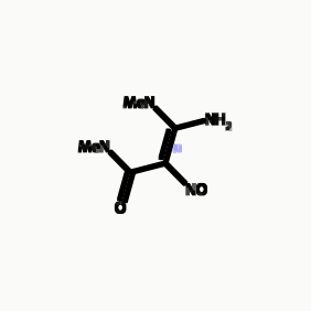 CNC(=O)/C(N=O)=C(/N)NC